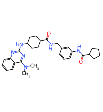 CN(C)c1nc(NC2CCC(C(=O)NCc3cccc(NC(=O)C4CCCC4)c3)CC2)nc2ccccc12